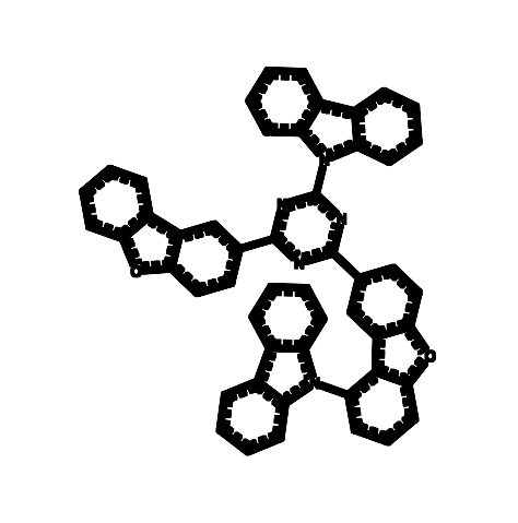 c1ccc2c(c1)oc1ccc(-c3nc(-c4ccc5oc6cccc(-n7c8ccccc8c8ccccc87)c6c5c4)nc(-n4c5ccccc5c5ccccc54)n3)cc12